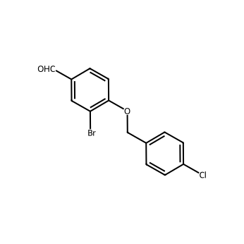 O=Cc1ccc(OCc2ccc(Cl)cc2)c(Br)c1